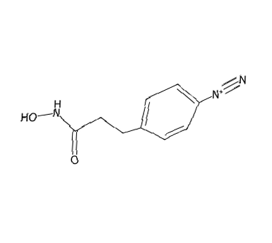 N#[N+]c1ccc(CCC(=O)NO)cc1